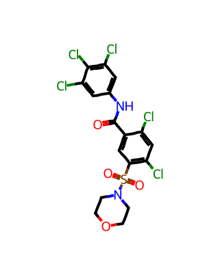 O=C(Nc1cc(Cl)c(Cl)c(Cl)c1)c1cc(S(=O)(=O)N2CCOCC2)c(Cl)cc1Cl